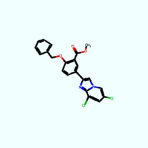 COC(=O)c1cc(-c2cn3cc(Cl)cc(Cl)c3n2)ccc1OCc1ccccc1